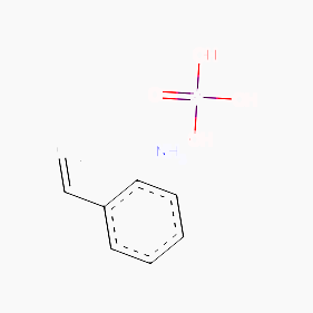 C=Cc1ccccc1.N.O=P(O)(O)O